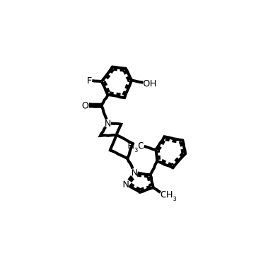 Cc1ccccc1-c1c(C)cnn1C1CC2(C1)CN(C(=O)c1cc(O)ccc1F)C2